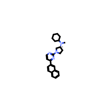 CN(C1CCCCC1)[C@H]1CCN(c2nccc(-c3ccc4ccccc4c3)n2)C1